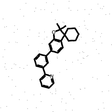 CC1(C)Oc2cc(-c3cccc(-c4ccccn4)c3)ccc2C12CCCCC2